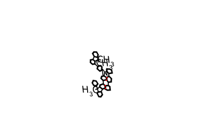 CC1(C)c2ccccc2-c2cccc(-c3ccc(N(c4ccc(-c5ccc6c(c5)C(C)(c5ccccc5)c5ccccc5-6)cc4)c4ccccc4-c4ccc(-c5ccccc5)cc4)cc3)c21